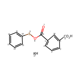 O=C(O)c1cccc(C(=O)OSc2ccccc2)c1.[KH]